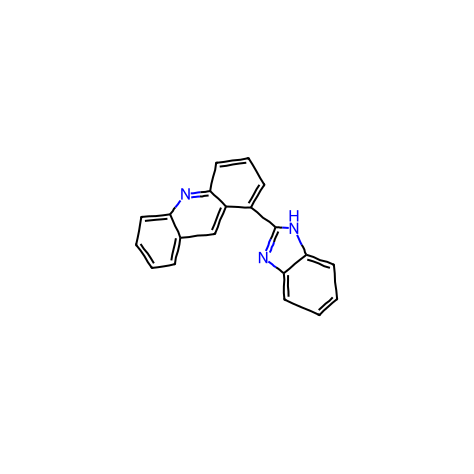 c1ccc2nc3cccc(-c4nc5ccccc5[nH]4)c3cc2c1